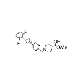 COC(O)C1CCN(Cc2ccc(N3CC(c4c(F)cccc4F)C3)cc2)CC1